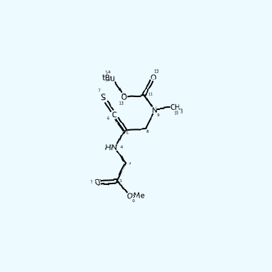 COC(=O)CNC(=C=S)CN(C)C(=O)OC(C)(C)C